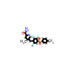 Cc1cc(C(N)=O)ncc1Cc1c(F)cc(S(=O)(=O)c2ccc(C(F)(F)F)cc2)c(F)c1F